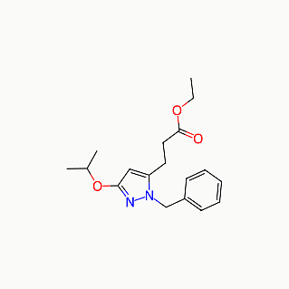 CCOC(=O)CCc1cc(OC(C)C)nn1Cc1ccccc1